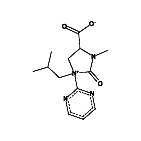 CC(C)C[N+]1(c2ncccn2)CC(C(=O)[O-])N(C)C1=O